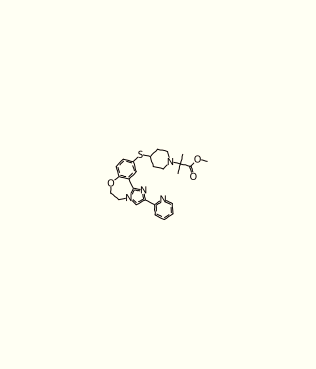 COC(=O)C(C)(C)N1CCC(Sc2ccc3c(c2)-c2nc(-c4ccccn4)cn2CCO3)CC1